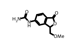 COCC1OC(=O)c2ccc(NC(N)=O)cc21